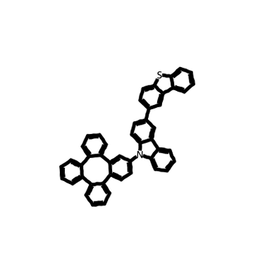 c1ccc2c(c1)-c1ccccc1-c1ccc(-n3c4ccccc4c4cc(-c5ccc6sc7ccccc7c6c5)ccc43)cc1-c1ccccc1-2